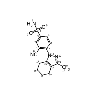 N#Cc1cc(S(N)(=O)=O)ccc1-n1nc(C(F)(F)F)c2c1CCCC2